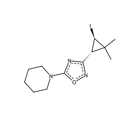 CC1(C)[C@H](I)[C@H]1c1noc(N2CCCCC2)n1